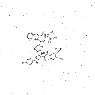 CC(C)C[C@H](NC(=O)[C@H](Cc1ccccc1)NC(=O)c1cnccn1)B(O)O.C[C@](O)(CS(=O)(=O)c1ccc(F)cc1)C(=O)Nc1ccc(C#N)c(C(F)(F)F)c1